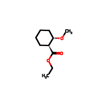 CCOC(=O)[C@@H]1CCCC[C@@H]1OC